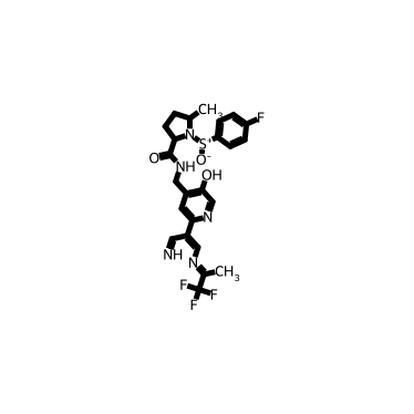 C/C(=N\C=C(/C=N)c1cc(CNC(=O)C2CCC(C)N2[S+]([O-])c2ccc(F)cc2)c(O)cn1)C(F)(F)F